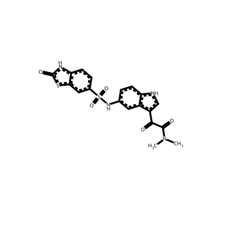 CN(C)C(=O)C(=O)c1c[nH]c2ccc(NS(=O)(=O)c3ccc4[nH]c(=O)sc4c3)cc12